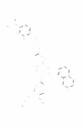 CCC(C)C(CN(CC(=O)NC(CCSC)C(=O)OC)Cc1cccc2ccccc12)NC(=O)CSCc1ccc([N+](=O)[O-])cc1